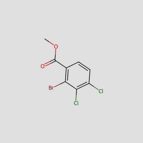 COC(=O)c1ccc(Cl)c(Cl)c1Br